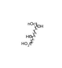 CCCCCCCCC(O)C=CC=CC=CC(O)CCCC(=O)O